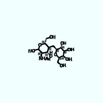 CC(=O)N[C@H]1C(O)O[C@H](CO)[C@@H](C[C@@H]2O[C@H](CO)[C@H](O)[C@H](O)[C@H]2O)[C@@H]1O